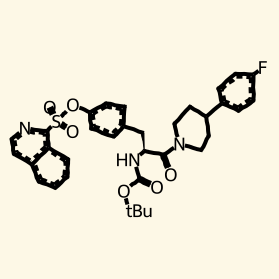 CC(C)(C)OC(=O)N[C@@H](Cc1ccc(OS(=O)(=O)c2nccc3ccccc23)cc1)C(=O)N1CCC(c2ccc(F)cc2)CC1